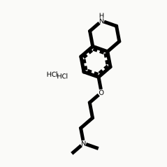 CN(C)CCCOc1ccc2c(c1)CCNC2.Cl.Cl